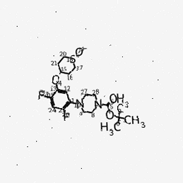 CC(C)(C)OC(=O)N1CCN(c2cc(O[C@H]3CC[S@@+]([O-])CC3)c(F)cc2F)CC1